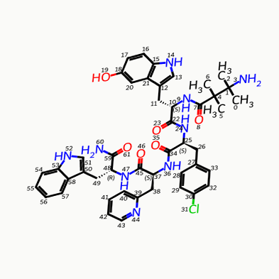 CC(C)(N)C(C)(C)C(=O)N[C@@H](Cc1c[nH]c2ccc(O)cc12)C(=O)N[C@@H](Cc1ccc(Cl)cc1)C(=O)N[C@@H](Cc1ccccn1)C(=O)N[C@H](Cc1c[nH]c2ccccc12)C(N)=O